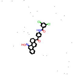 O=C(Nc1ccc(C(=O)C2=c3ccc4c(c3CCC2)C(=NO)C=c2ccccc2=4)cc1)c1cc(Cl)cc(Cl)c1